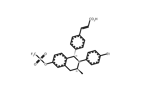 CCc1ccc(N2[C@@H](c3ccc(C=CC(=O)O)cc3)c3ccc(OS(=O)(=O)C(F)(F)F)cc3C[C@@H]2C)cc1